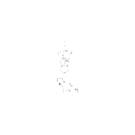 Cc1onc(O[C@H]2CNC[C@@H]2F)c1-c1ccn2nc(NC(=O)C3CC3)cc2c1